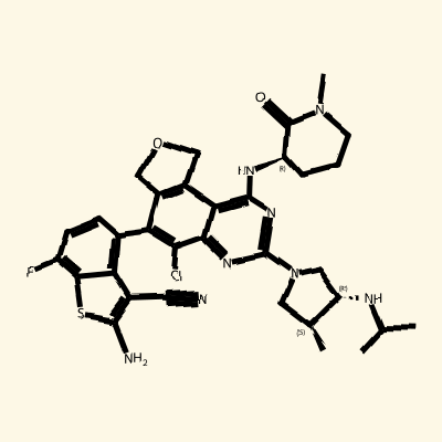 CC(C)N[C@H]1CN(c2nc(N[C@@H]3CCCN(C)C3=O)c3c4c(c(-c5ccc(F)c6sc(N)c(C#N)c56)c(Cl)c3n2)COC4)C[C@@H]1C